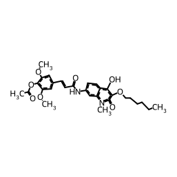 CCCCCCOc1c(O)c2ccc(NC(=O)C=Cc3cc(OC)c(OC(C)=O)c(OC)c3)cc2n(C)c1=O